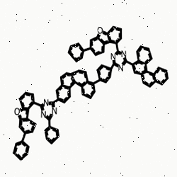 c1ccc(-c2ccc3c(c2)oc2cccc(-c4nc(-c5ccccc5)nc(-c5ccc6c(ccc7ccc8c(-c9ccc(-c%10nc(-c%11cc%12ccc%13ccccc%13c%12c%12ccccc%11%12)nc(-c%11cccc%12oc%13cc(-c%14ccccc%14)ccc%13c%11%12)n%10)cc9)cccc8c76)c5)n4)c23)cc1